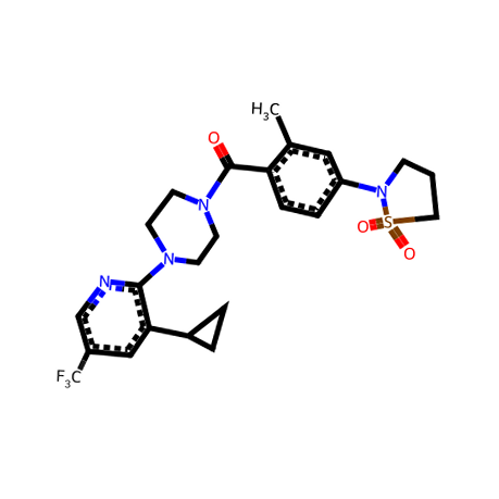 Cc1cc(N2CCCS2(=O)=O)ccc1C(=O)N1CCN(c2ncc(C(F)(F)F)cc2C2CC2)CC1